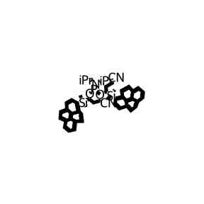 CC(C)N(C(C)C)P(OC(CCC#N)[Si](C)(C)c1ccc2ccc3cccc4ccc1c2c34)OC(CCC#N)[Si](C)(C)c1ccc2ccc3cccc4ccc1c2c34